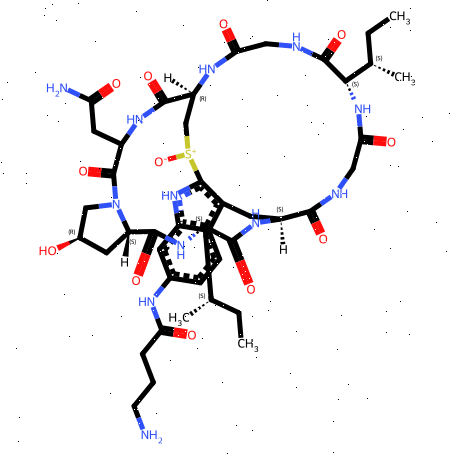 CC[C@H](C)[C@@H]1NC(=O)CNC(=O)[C@@H]2Cc3c([nH]c4cc(NC(=O)CCCN)ccc34)[S+]([O-])C[C@H](NC(=O)CNC1=O)C(=O)NC(CC(N)=O)C(=O)N1C[C@H](O)C[C@H]1C(=O)N[C@@H]([C@@H](C)CC)C(=O)N2